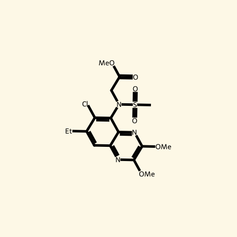 CCc1cc2nc(OC)c(OC)nc2c(N(CC(=O)OC)S(C)(=O)=O)c1Cl